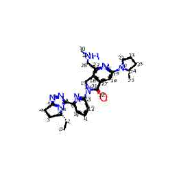 CC[C@@H]1CCc2nnc(-c3cccc(N4Cc5c(cc(N6CCC[C@H]6C)nc5CNC)C4=O)n3)n21